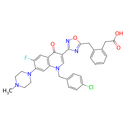 CN1CCN(c2cc3c(cc2F)c(=O)c(-c2noc(Cc4ccccc4CC(=O)O)n2)cn3Cc2ccc(Cl)cc2)CC1